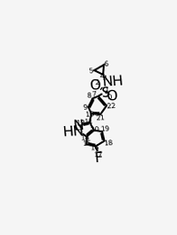 O=S(=O)(NC1CC1)c1ccc(-c2n[nH]c3cc(F)ccc23)cc1